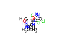 C[C@@H]1CCC[C@H](n2cc(Cl)c(-c3cc(Cl)ccc3-n3cc(Cl)nn3)cc2=O)c2cc(ccn2)-c2c(cnn2C(C)(C)C)NC1=O